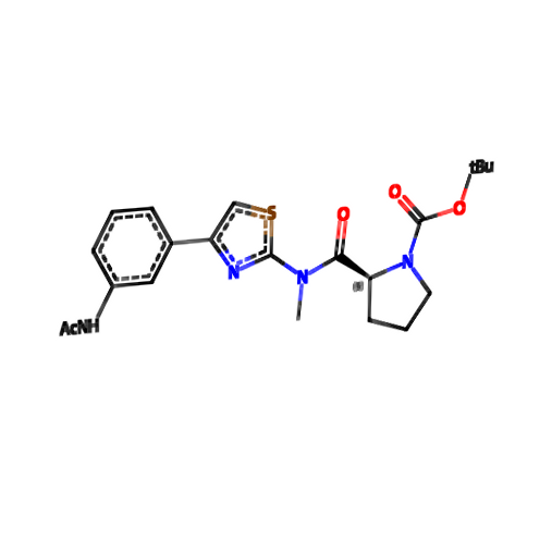 CC(=O)Nc1cccc(-c2csc(N(C)C(=O)[C@@H]3CCCN3C(=O)OC(C)(C)C)n2)c1